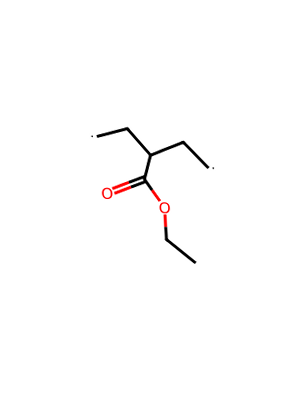 [CH2]CC(C[CH2])C(=O)OCC